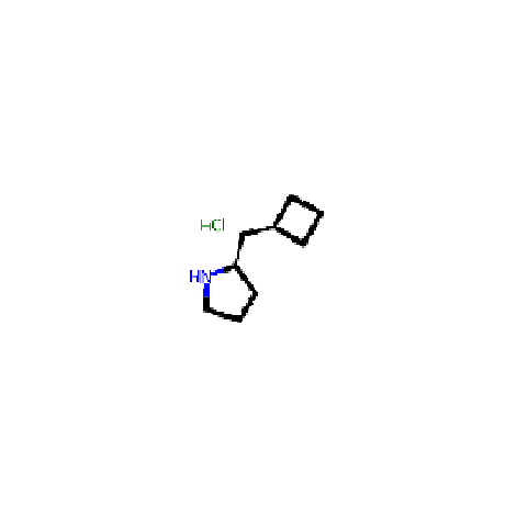 C1CC(C[C@H]2CCCN2)C1.Cl